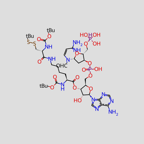 CC(C)(C)OC(=O)N[C@@H](CSSC(C)(C)C)C(=O)NCCCC[C@H](NC(=O)OC(C)(C)C)C(=O)O[C@H]1[C@@H](O)[C@H](n2cnc3c(N)ncnc32)O[C@@H]1COP(=O)(O)O[C@H]1C[C@H](N(C=O)/C=C\C(=N)N)O[C@@H]1CO[PH](O)(O)O